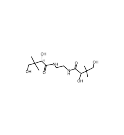 CC(C)(CO)C(O)C(=O)NCCNC(=O)[C@@H](O)C(C)(C)CO